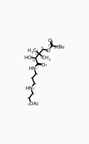 CC(=O)OCCNCCCNC(=O)C(O)C(C)(C)COC(=O)C(C)(C)C